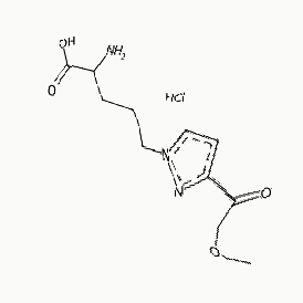 COC(=O)c1ccn(CCCC(N)C(=O)O)n1.Cl